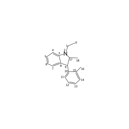 CCN1c2ccccc2C(c2ccccc2C)C1C